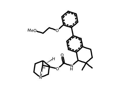 COCCOc1ccccc1-c1ccc2c(c1)CCC(C)(C)C2NC(=O)O[C@H]1CN2CCC1CC2